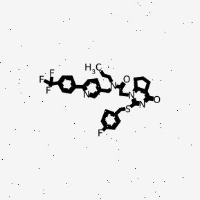 CCCN(Cc1ccc(-c2ccc(C(F)(F)F)cc2)nc1)C(=O)Cn1c(SCc2ccc(F)cc2)nc(=O)c2c1CCC2